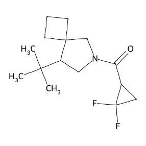 CC(C)(C)C1CN(C(=O)C2CC2(F)F)CC12CCC2